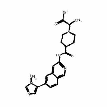 CC(C(=O)O)N1CCC(C(=O)Nc2cc3cc(-c4cncn4C)ccc3cn2)CC1